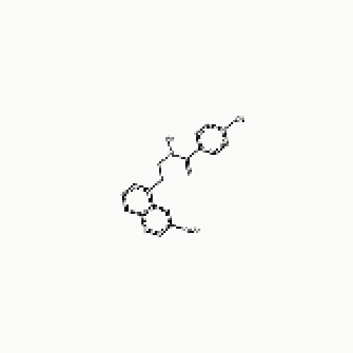 COc1ccc2cccc(CCN(C(C)=O)C(=O)c3ccc(C#N)cc3)c2c1